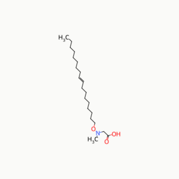 CCCCCCCCC=CCCCCCCCCON(C)CC(=O)O